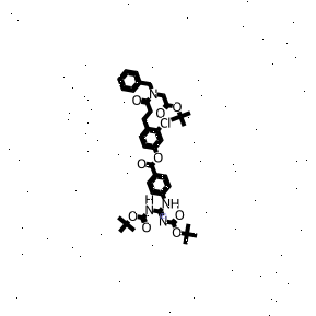 CC(C)(C)OC(=O)CN(Cc1ccccc1)C(=O)CCc1ccc(OC(=O)c2ccc(N/C(=N\C(=O)OC(C)(C)C)NC(=O)OC(C)(C)C)cc2)cc1Cl